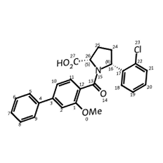 COc1cc(-c2ccccc2)ccc1C(=O)N1[C@@H](c2ccccc2Cl)CC[C@H]1C(=O)O